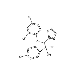 CCC(O)(c1ccc(Cl)cc1)C(Oc1ccc(Cl)cc1Cl)n1cncn1